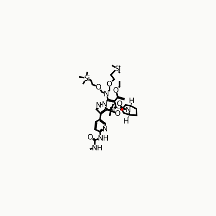 C=C(OCC)c1c([C@@H]2C[C@H]3CC[C@@H](C2)N3C(=O)OC(C)(C)C)nc2c(-c3ccc(NC(=O)NC)nc3)cnn2c1N(COCC[Si](C)(C)C)COCC[Si](C)(C)C